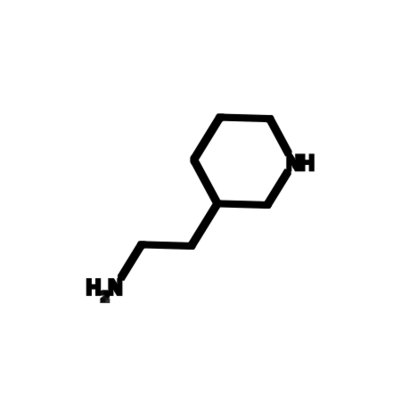 NCCC1CCCNC1